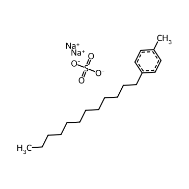 CCCCCCCCCCCCc1ccc(C)cc1.O=S(=O)([O-])[O-].[Na+].[Na+]